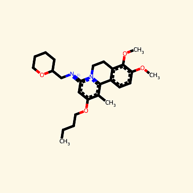 CCCCOc1c/c(=N\CC2CCCCO2)n2c(c1C)-c1ccc(OC)c(OC)c1CC2